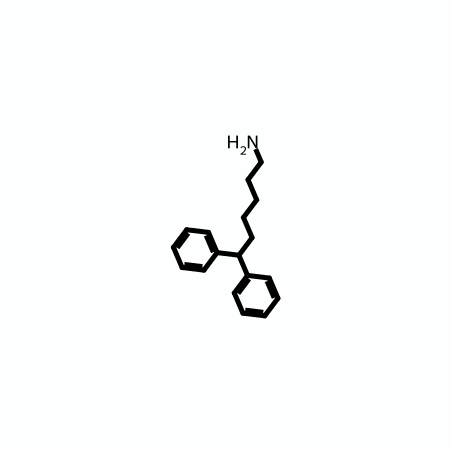 NCCCCCC(c1ccccc1)c1ccccc1